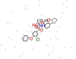 O=C(O)C(O)(NS(=O)(=O)c1ccc(Oc2ccccc2)c(Cl)c1)Oc1cccc2c1OC1CCCC21